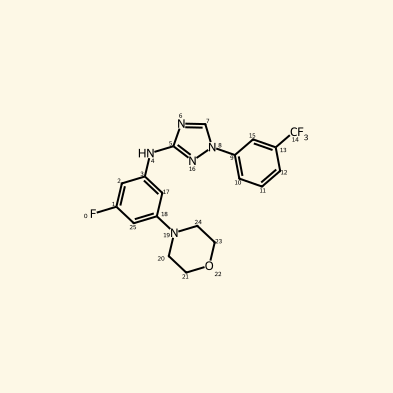 Fc1cc(Nc2ncn(-c3cccc(C(F)(F)F)c3)n2)cc(N2CCOCC2)c1